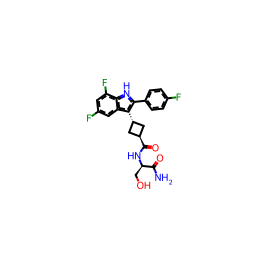 NC(=O)[C@@H](CO)NC(=O)[C@H]1C[C@H](c2c(-c3ccc(F)cc3)[nH]c3c(F)cc(F)cc32)C1